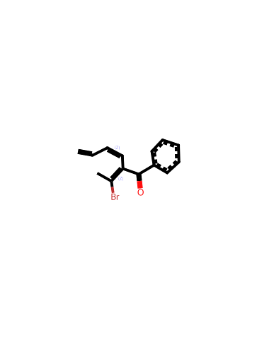 C=C/C=C\C(C(=O)c1ccccc1)=C(/C)Br